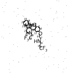 COc1ccc(OCCNCCC(F)(F)F)cc1C1c2[nH]c3ccccc3c2C[C@@H](C)N1CC(F)(F)F